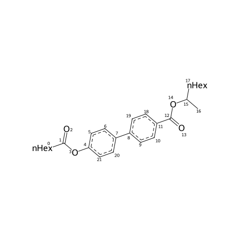 CCCCCCC(=O)Oc1ccc(-c2ccc(C(=O)OC(C)CCCCCC)cc2)cc1